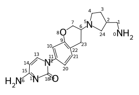 NCC1CCN(C2COc3cc(-n4ccc(N)nc4=O)ccc3C2)C1